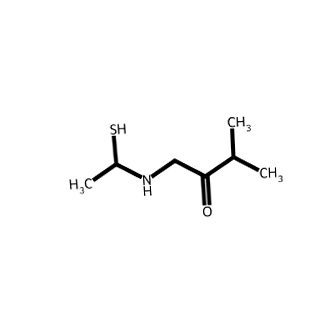 CC(S)NCC(=O)C(C)C